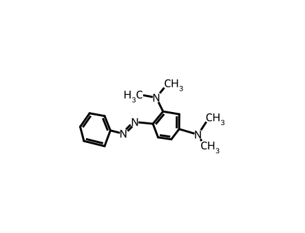 CN(C)c1ccc(N=Nc2ccccc2)c(N(C)C)c1